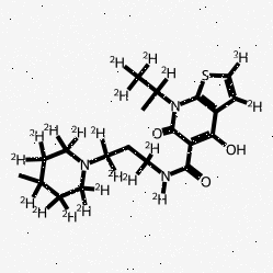 [2H]c1sc2c(c1[2H])c(O)c(C(=O)N([2H])C([2H])([2H])CC([2H])([2H])N1C([2H])([2H])C([2H])([2H])C([2H])(C)C([2H])([2H])C1([2H])[2H])c(=O)n2C([2H])(C)C([2H])([2H])[2H]